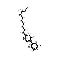 CC[C@H](C)CCCCCCCc1ncc(-c2cc[c]cc2)cn1